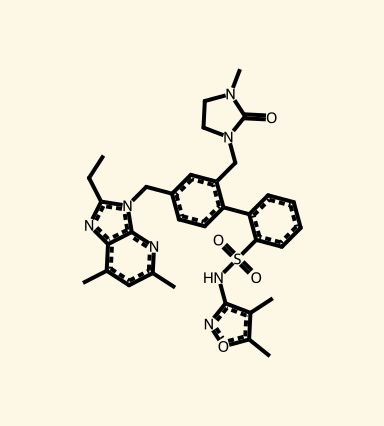 CCc1nc2c(C)cc(C)nc2n1Cc1ccc(-c2ccccc2S(=O)(=O)Nc2noc(C)c2C)c(CN2CCN(C)C2=O)c1